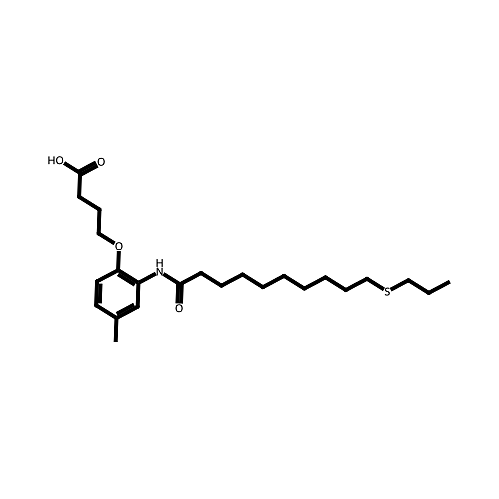 CCCSCCCCCCCCCC(=O)Nc1cc(C)ccc1OCCCC(=O)O